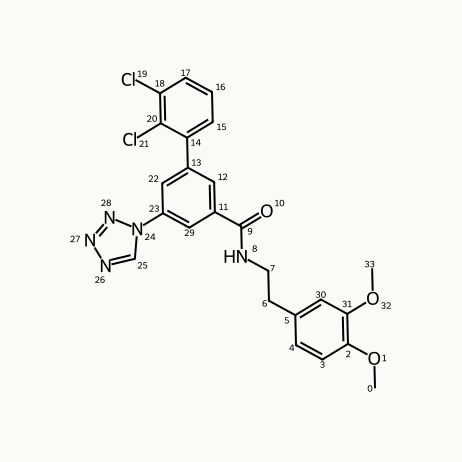 COc1ccc(CCNC(=O)c2cc(-c3cccc(Cl)c3Cl)cc(-n3cnnn3)c2)cc1OC